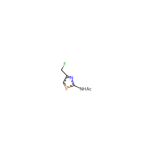 CC(=O)Nc1nc(CF)cs1